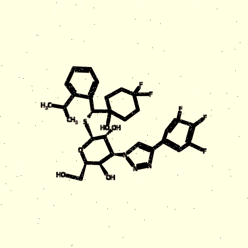 CC(C)c1ccccc1[C@@H](S[C@@H]1O[C@H](CO)[C@H](O)[C@H](n2cc(-c3cc(F)c(F)c(F)c3)nn2)[C@H]1O)C1(O)CCC(F)(F)CC1